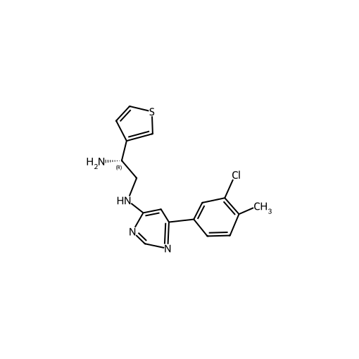 Cc1ccc(-c2cc(NC[C@H](N)c3ccsc3)ncn2)cc1Cl